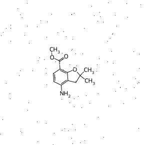 COC(=O)c1ccc(N)c2c1OC(C)(C)C2